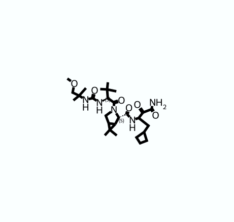 COCC(C)(C)NC(=O)N[C@H](C(=O)N1CC2C([C@H]1C(=O)NC(CC1CCC1)C(=O)C(N)=O)C2(C)C)C(C)(C)C